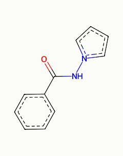 O=C(Nn1cccc1)c1ccccc1